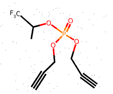 C#CCOP(=O)(OCC#C)OC(C)C(F)(F)F